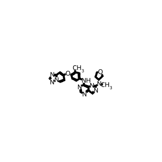 Cc1cc(Nc2ncnc3cnc(N(C)[C@@H]4CCOC4)nc23)ccc1Oc1ccn2ncnc2c1